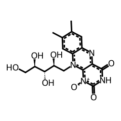 Cc1cc2nc3c(=O)[nH]c(=O)[n+]([O-])c-3n(C[C@H](O)[C@H](O)[C@H](O)CO)c2cc1C